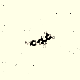 CC1(N)CCN(c2cc(O)c3c(-c4cc(Cl)nc(Cl)c4)n[nH]c3n2)CC1